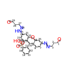 O=CC/C=N\N=c1/ccc2c(-c3ccccc3S(=O)(=O)O)c3ccc(N/N=C\CC=O)cc3oc-2c1